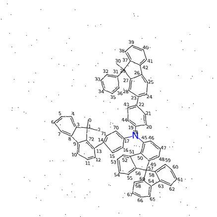 CC1(C)c2ccccc2-c2cccc(-c3ccc(N(c4ccc(-c5ccc6c(c5)C(C)(c5ccccc5)c5ccccc5-6)cc4)c4cccc5c4-c4ccccc4C54c5ccccc5-c5ccccc54)cc3)c21